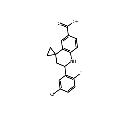 O=C(O)c1ccc2c(c1)C1(CC1)CC(c1cc(Cl)ccc1F)N2